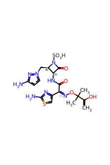 C=C(O)C(C)(C)O/N=C(\C(=O)N[C@@H]1C(=O)N(S(=O)(=O)O)[C@@H]1Cn1ccc(N)n1)c1csc(N)n1